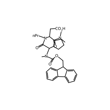 CCCN(C(=O)C(C1CCCC1)N(C)C(=O)OCC1c2ccccc2-c2ccccc21)C(CC(=O)O)C(=O)N(C)C